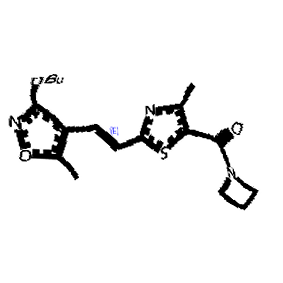 CCCCc1noc(C)c1/C=C/c1nc(C)c(C(=O)N2CCC2)s1